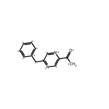 CC(=O)c1cnc(Cc2ccccc2)cn1